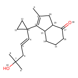 CC1=C(C2(C=CCC(C)(C)O)CC2)C2CCCC(=O)C2C1